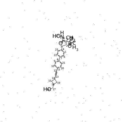 CC(CCc1ccc(-c2ccc(C#CC3CC(CO)C3)cc2)cc1)(C(=O)NO)S(C)(=O)=O